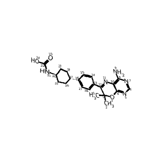 CC1(C)Oc2ncnc(N)c2N=C1c1ccc([C@H]2CC[C@H](NC(=O)O)CC2)cc1